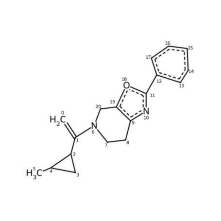 C=C(C1CC1C)N1CCc2nc(-c3ccccc3)oc2C1